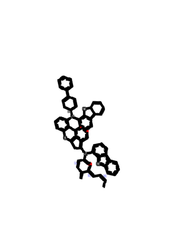 C=C(/C=C\C(=C)N(C1=c2cccc3c2=C(C1)Oc1cccc(N(c2cccc4c2OC2C=CC=CC42)[C@@H]2C=CC(c4ccccc4)=CC2)c1-3)c1cccc2c1oc1ccccc12)/C(C)=C/C=C\C